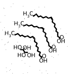 CCCCCCCC/C=C\CCCCCCCC(=O)O.CCCCCCCC/C=C\CCCCCCCC(=O)O.CCCCCCCC/C=C\CCCCCCCC(=O)O.OC[C@@H](O)[C@@H](O)CO